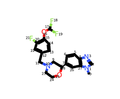 Cn1cnc2ccc([C@@H]3CN(Cc4ccc(OC(F)F)c(F)c4)CCO3)cc21